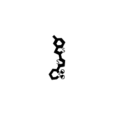 Cc1ccc2sc(-c3ccc([C]4CCCCS4(=O)=O)s3)cc2c1